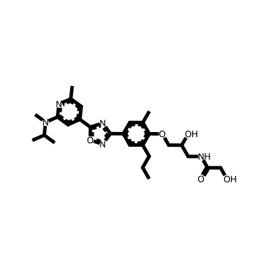 CCCc1cc(-c2noc(-c3cc(C)nc(N(C)C(C)C)c3)n2)cc(C)c1OCC(O)CNC(=O)CO